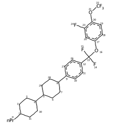 CCCC1CCC(C2CCC(c3ccc(C(F)(F)Oc4ccc(OC(F)(F)F)c(F)c4)cc3)CC2)CC1